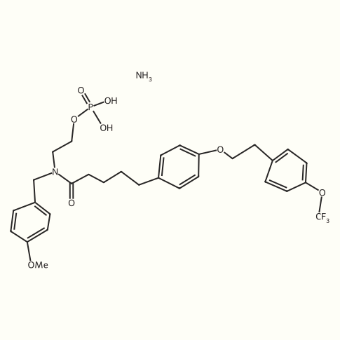 COc1ccc(CN(CCOP(=O)(O)O)C(=O)CCCCc2ccc(OCCc3ccc(OC(F)(F)F)cc3)cc2)cc1.N